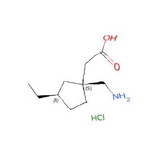 CC[C@@H]1CC[C@@](CN)(CC(=O)O)C1.Cl